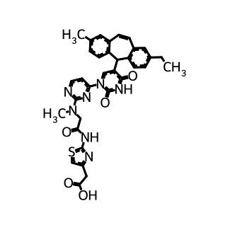 CCc1ccc2c(c1)C=Cc1cc(C)ccc1C2c1cn(-c2ccnc(N(C)CC(=O)Nc3nc(CC(=O)O)cs3)n2)c(=O)[nH]c1=O